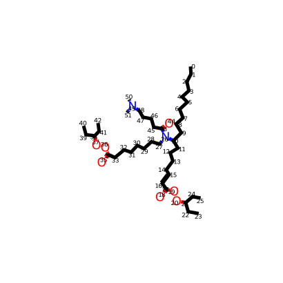 CCCCCCCCCCC(CCCCC=CC(=O)OOC(CC)CC)N(CCCCCCCC(=O)OOC(CC)CC)C(=O)CCCCN(C)C